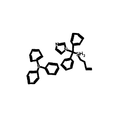 C=CCC[SiH2]C(c1ccccc1)(c1ccccc1)n1ccnc1.c1ccc(B(c2ccccc2)c2ccccc2)cc1